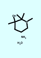 CN1CCCC(C)(O)C1(C)C.N.O